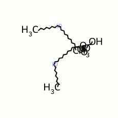 CCCCCCCC/C=C\CCCCCCCCC(C)(CCCCCCCC/C=C\CCCCCCCC)COS(=O)(=O)OCCO